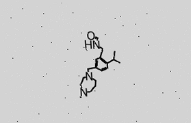 CC(C)c1ccc(CN2CCCN(C)CC2)cc1CNC=O